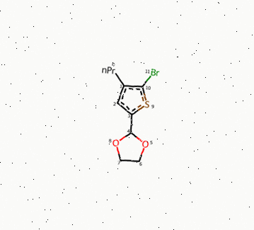 CCCc1cc(C2OCCO2)sc1Br